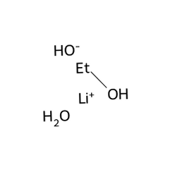 CCO.O.[Li+].[OH-]